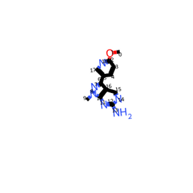 COc1ccc(-c2nn(C)c3nc(N)ncc23)cn1